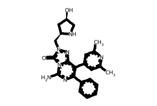 Cc1cc(-c2c(-c3ccccc3)nc(N)n3c(=O)n(C[C@H]4C[C@@H](O)CN4)nc23)cc(C)n1